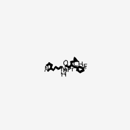 CCCC(C)(c1cccc(F)c1)C(CC(=O)NCCCCc1cccnc1)CC1CC1